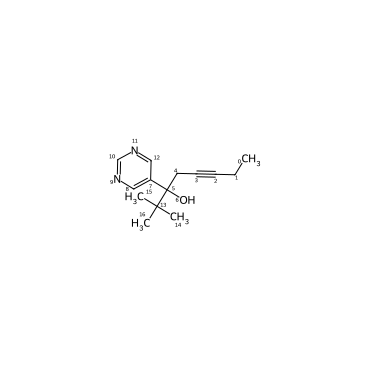 CCC#CCC(O)(c1cncnc1)C(C)(C)C